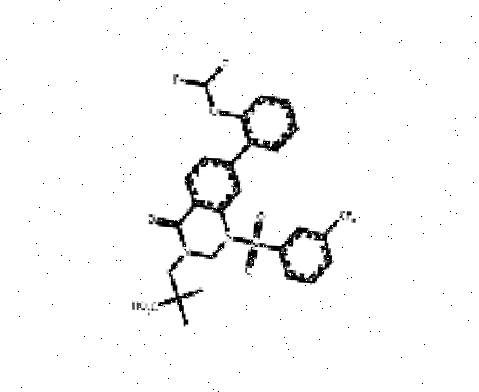 CC(C)(CN1CN(S(=O)(=O)c2cccc(C(F)(F)F)c2)c2cc(-c3ccccc3OC(F)F)ccc2C1=O)C(=O)O